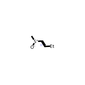 CC/C=C/[S+](C)[O-]